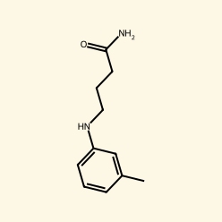 Cc1cccc(NCCCC(N)=O)c1